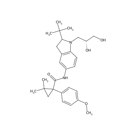 COc1ccc(C2(C(=O)Nc3ccc4c(c3)CC(C(C)(C)C)N4C[C@@H](O)CO)CC2(C)C)cc1